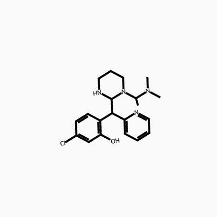 CC(N(C)C)N1CCCNC1C(c1ccccn1)c1ccc(Cl)cc1O